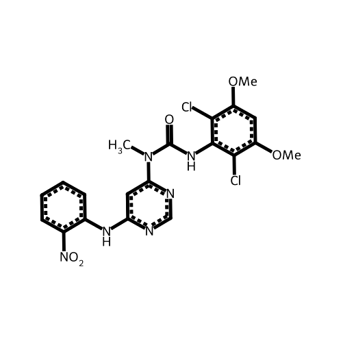 COc1cc(OC)c(Cl)c(NC(=O)N(C)c2cc(Nc3ccccc3[N+](=O)[O-])ncn2)c1Cl